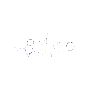 CO[C@H](C)COC(=O)[C@H](C)N[P@@](=O)(Oc1ccccc1)OC1[C@@]2(CF)O[C@@H](c3ccc4c(N)ncnn34)[C@H](O)[C@@]12O